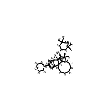 CC1(C)CC(N=C2C(C)(C)N3CCCCCCC4(c5nc(N6CCOCC6)nc(n5)C24[N])C3(C)C)CC(C)(C)N1